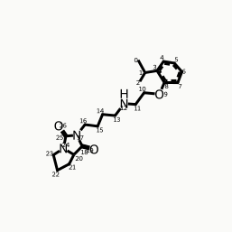 CC(C)c1ccccc1OCCNCCCCN1C(=O)C2CCCN2C1=O